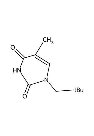 Cc1cn(CC(C)(C)C)c(=O)[nH]c1=O